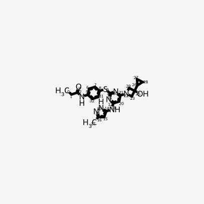 CCC(=O)Nc1ccc(Sc2nc(Nc3cc(C)n[nH]3)cc(N3CC(O)(C4CC4)C3)n2)cc1